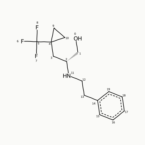 OC[C@@H](CC1(C(F)(F)F)CC1)NCCc1ccccc1